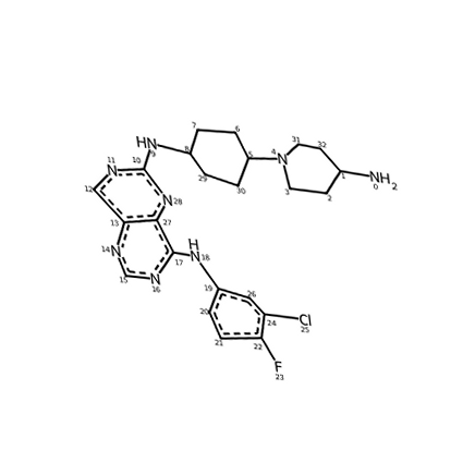 NC1CCN(C2CCC(Nc3ncc4ncnc(Nc5ccc(F)c(Cl)c5)c4n3)CC2)CC1